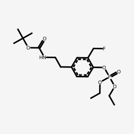 CCOP(=O)(OCC)Oc1ccc(CCNC(=O)OC(C)(C)C)cc1CF